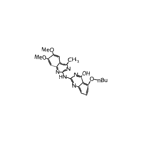 CCCCOc1cccc2nc(Nc3nc(C)c4cc(OC)c(OC)cc4n3)nc(O)c12